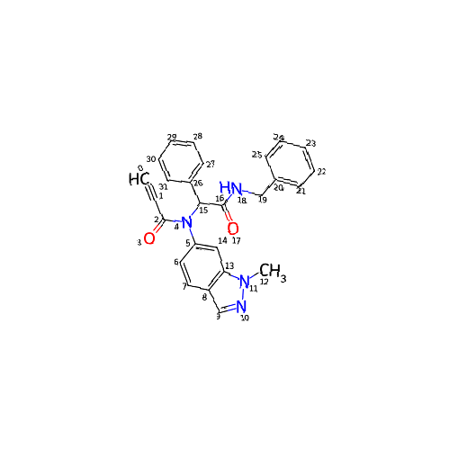 C#CC(=O)N(c1ccc2cnn(C)c2c1)C(C(=O)NCc1ccccc1)c1ccccc1